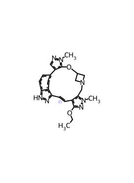 CCOc1nn(C)c2c1/C=C/c1n[nH]c3ccc(cc13)-c1cnn(C)c1OC1CN(C2)C1